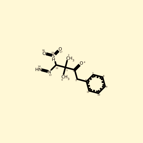 CC(C)(C(=O)Cc1ccccc1)C(N=N)[SH](=O)=O